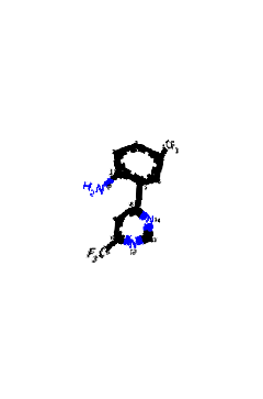 Nc1ccc(C(F)(F)F)cc1-c1cc(C(F)(F)F)ncn1